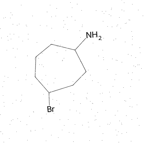 NC1CCCC(Br)CC1